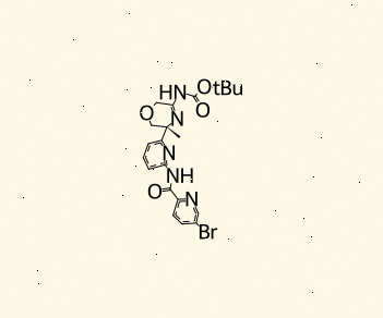 CC(C)(C)OC(=O)NC1=N[C@](C)(c2cccc(NC(=O)c3ccc(Br)cn3)n2)COC1